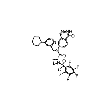 O=C([C@H]1CCN1S(=O)(=O)c1c(F)c(F)c(F)c(F)c1F)N(Cc1cc(C2CCCCC2)ccn1)c1ccc2c(=O)[nH]ncc2c1